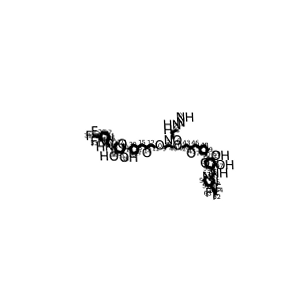 N=NNCCC(=O)NC(COCCC(=O)CC1CCC([C@H]2OC[C@H](Nc3nccc(C(F)(F)F)n3)[C@@H](O)[C@H]2O)C1)COCCC(=O)CC1CCC([C@H]2OC[C@H](Nc3nccc(C(F)(F)F)n3)[C@@H](O)[C@H]2O)C1